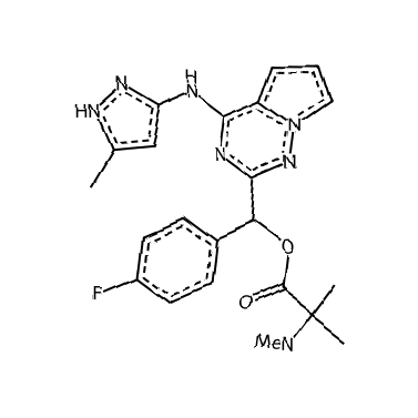 CNC(C)(C)C(=O)OC(c1ccc(F)cc1)c1nc(Nc2cc(C)[nH]n2)c2cccn2n1